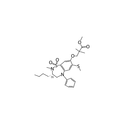 CCCC[C@H]1CN(c2ccccc2)c2cc(SC)c(OCC(C)(C)C(=O)OC)cc2S(=O)(=O)N1C